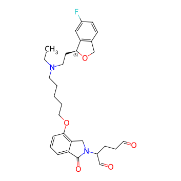 CCN(CCCCCOc1cccc2c1CN(C(C=O)CCC=O)C2=O)CC[C@@H]1OCc2ccc(F)cc21